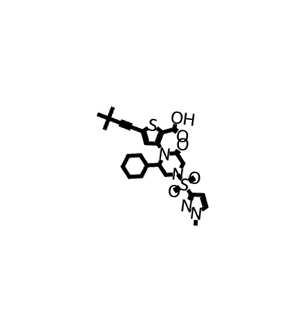 Cn1ccc(S(=O)(=O)N2CC(=O)N(c3cc(C#CC(C)(C)C)sc3C(=O)O)C(C3CCCCC3)C2)n1